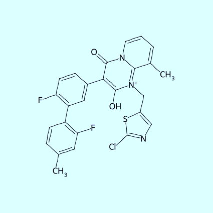 Cc1ccc(-c2cc(-c3c(O)[n+](Cc4cnc(Cl)s4)c4c(C)cccn4c3=O)ccc2F)c(F)c1